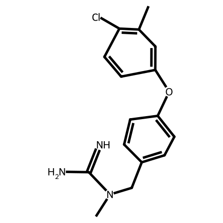 Cc1cc(Oc2ccc(CN(C)C(=N)N)cc2)ccc1Cl